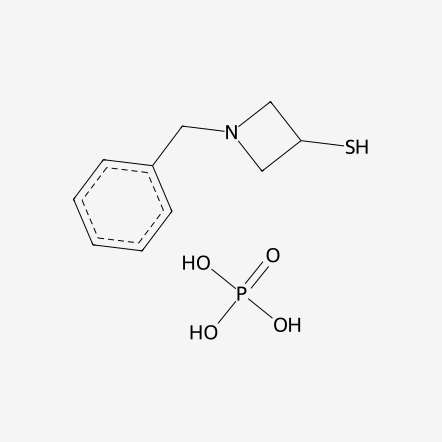 O=P(O)(O)O.SC1CN(Cc2ccccc2)C1